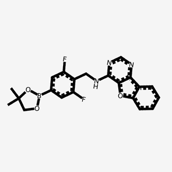 CC1(C)COB(c2cc(F)c(CNc3ncnc4c3oc3ccccc34)c(F)c2)O1